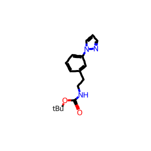 CC(C)(C)OC(=O)NCCc1cccc(-n2cccn2)c1